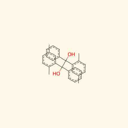 Cc1ccc(C)c(C(O)(c2ccccc2)C(O)(c2ccccc2)c2cc(C)ccc2C)c1